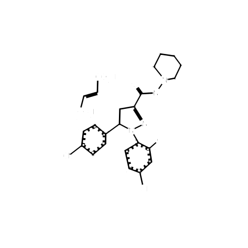 O=C(NN1CCCCC1)C1=NN(c2ccc(Cl)cc2Cl)C(c2ccc(Cl)cc2)C1.O=C(O)/C=C/C(=O)O